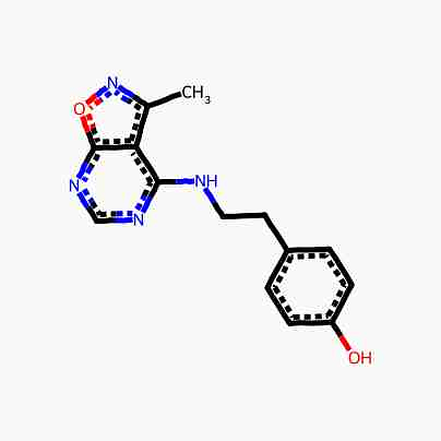 Cc1noc2ncnc(NCCc3ccc(O)cc3)c12